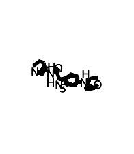 O=C(N[C@@H]1CN2CCC1CC2)c1nsc2cc(N3CC4C[C@H]3CO4)ccc12